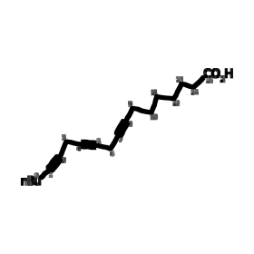 CCCCC#CCC#CCC#CCCCCCCC(=O)O